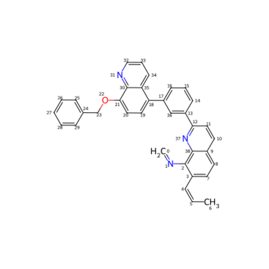 C=Nc1c(/C=C\C)ccc2ccc(-c3cccc(-c4ccc(OCc5ccccc5)c5ncccc45)c3)nc12